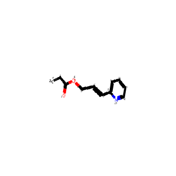 CC(=O)CC(=O)OCC=Cc1ccccn1